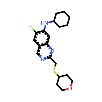 Fc1cc2cnc(CSC3CCOCC3)nc2cc1NC1CCCCC1